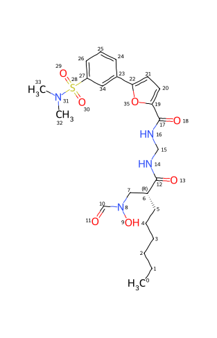 CCCCCC[C@H](CN(O)C=O)C(=O)NCNC(=O)c1ccc(-c2cccc(S(=O)(=O)N(C)C)c2)o1